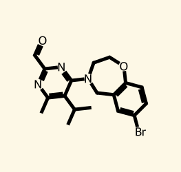 Cc1nc(C=O)nc(N2CCOc3ccc(Br)cc3C2)c1C(C)C